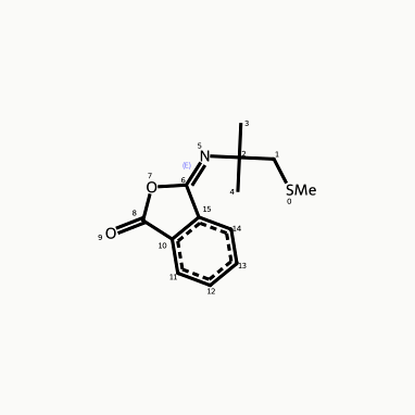 CSCC(C)(C)/N=C1/OC(=O)c2ccccc21